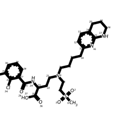 CS(=O)(=O)CCN(CCCCc1ccc2c(n1)NCCC2)CCC(NC(=O)c1cccc(F)c1Cl)C(=O)O